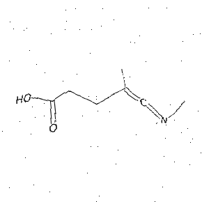 CN=C=C(C)CCC(=O)O